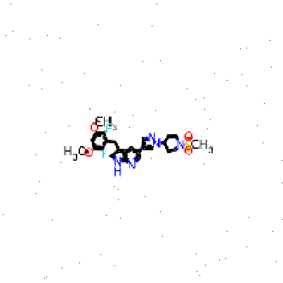 COc1cc(OC)c(F)c(Cc2c[nH]c3ncc(-c4cnn(C5CCN(S(C)(=O)=O)CC5)c4)cc23)c1F